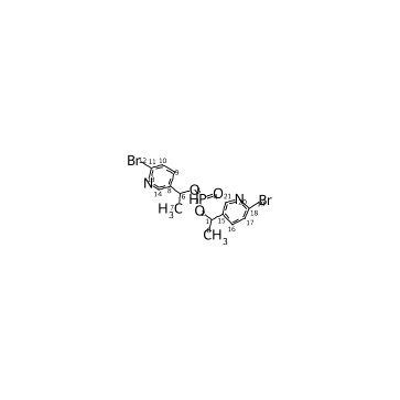 CC(O[PH](=O)OC(C)c1ccc(Br)nc1)c1ccc(Br)nc1